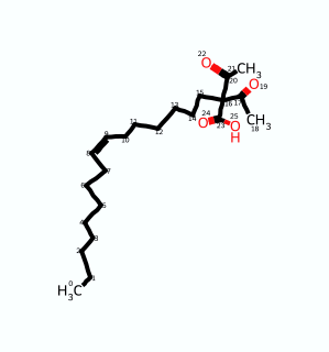 CCCCCCCC/C=C\CCCCCCC(C(C)=O)(C(C)=O)C(=O)O